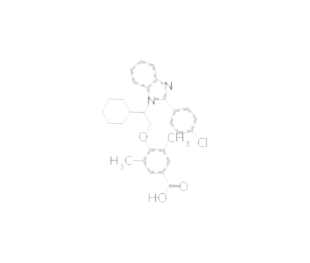 Cc1cc(C(=O)O)cc(C)c1OCC(C1CCCCC1)n1c(-c2ccc(Cl)cc2)nc2ccccc21